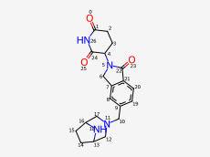 O=C1CCC(N2Cc3cc(CN4CC5CCC(C4)N5)ccc3C2=O)C(=O)N1